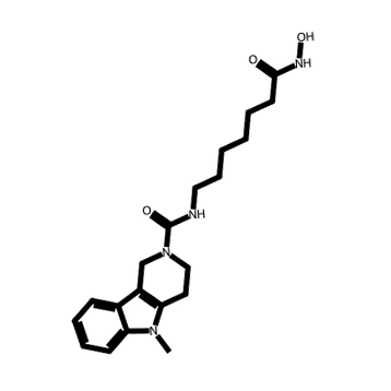 Cn1c2c(c3ccccc31)CN(C(=O)NCCCCCCC(=O)NO)CC2